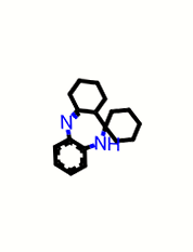 c1ccc2c(c1)N=C1CCCCC1C1(CCCCC1)N2